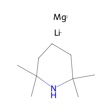 CC1(C)CCCC(C)(C)N1.[Li].[Mg]